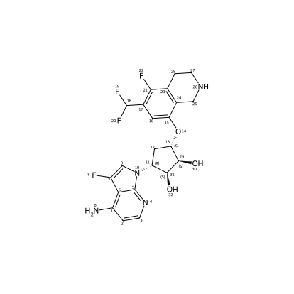 Nc1ccnc2c1c(F)cn2[C@@H]1C[C@H](Oc2cc(C(F)F)c(F)c3c2CNCC3)[C@@H](O)[C@H]1O